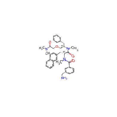 CN(C)C(=O)COC[C@@H](Cc1ccccc1)N(C)C(=O)[C@@H](Cc1ccc2ccccc2c1)N(C)C(=O)c1cccc(CN)c1